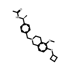 COc1c(OC2CCC2)ccc2c1CCN(Cc1ccc([C@H](C)NC(C)=O)cc1)C2